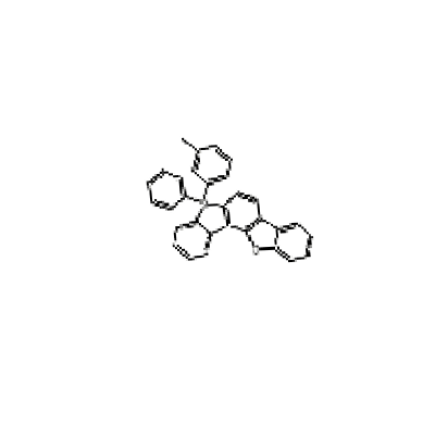 Cc1cccc([Si]2(c3ccccc3)c3ccccc3-c3c2ccc2c3oc3ccccc32)c1